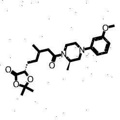 COc1cccc(N2CCN(C(=O)CC(C)CC[C@@H]3OC(C)(C)OC3=O)[C@H](C)C2)c1